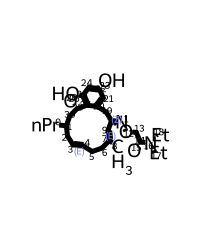 CCCC1C/C=C/CC/C(C)=C/C(=N\OCC(=O)N(CC)CC)Cc2cc(O)cc(O)c2C(=O)C1